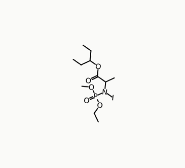 CCOP(=O)(OC)N(I)C(C)C(=O)OC(CC)CC